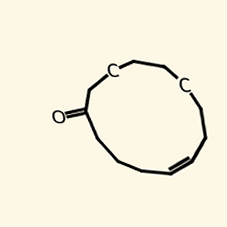 O=C1CCCC=CCCCCCCC1